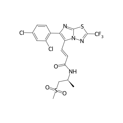 C[C@@H](CS(C)(=O)=O)NC(=O)/C=C/c1c(-c2ccc(Cl)cc2Cl)nc2sc(C(F)(F)F)nn12